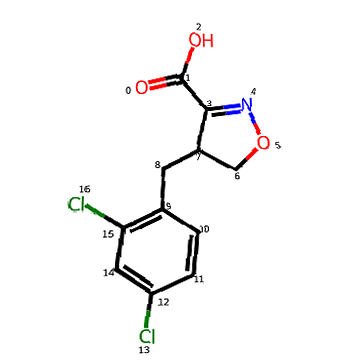 O=C(O)C1=NOCC1Cc1ccc(Cl)cc1Cl